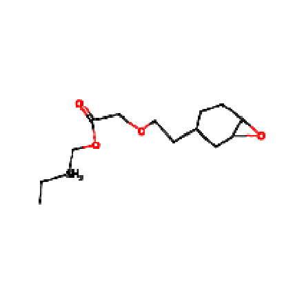 CC[SiH2]COC(=O)COCCC1CCC2OC2C1